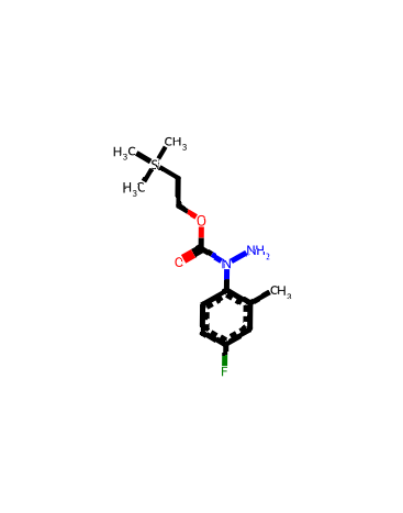 Cc1cc(F)ccc1N(N)C(=O)OCC[Si](C)(C)C